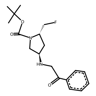 CC(C)(C)OC(=O)N1C[C@H](NCC(=O)c2ccccc2)C[C@H]1CF